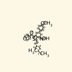 C\C=C/C=C\C(=C/C)CSc1sc(C(=O)N2CCOCC2)c2c1/C(=N/O)CC(c1ccc(OC)cc1)C2